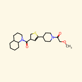 COCC(=O)N1CCC(C2=CC(C(=O)N3CCCC4CCCCC43)CS2)CC1